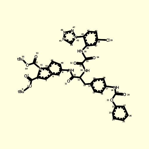 CC(C)(C)OC(=O)c1cc2cc(NC(=O)C(Cc3ccc(NC(=O)Oc4ccccc4)cc3)NC(=O)C(=O)Nc3cc(Cl)ccc3-n3cnnn3)ccc2n1C(=O)OC(C)(C)C